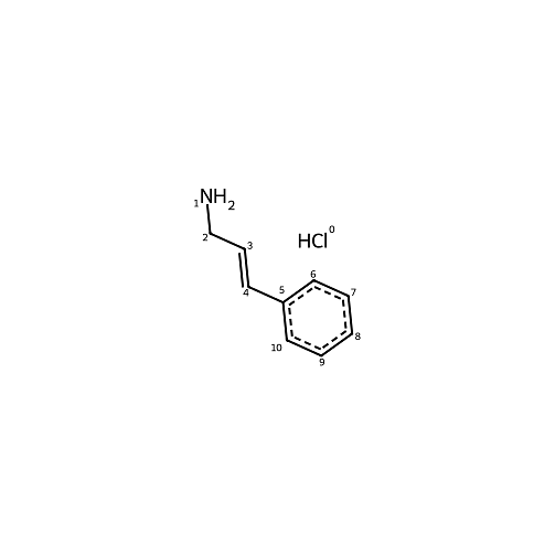 Cl.NCC=Cc1ccccc1